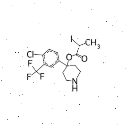 CC(I)C(=O)OC1(c2ccc(Cl)c(C(F)(F)F)c2)CCNCC1